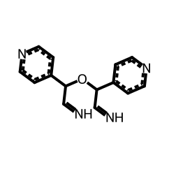 N=CC(OC(C=N)c1ccncc1)c1ccncc1